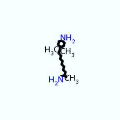 CC(CN)CCCCCCCCC(C)(C)C1CCC(N)CC1